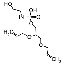 C=CCOC[C@H](COP(=O)(O)NCCO)OCC=C